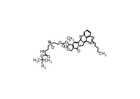 CCCCCC1=Nc2cccc3nc4c(c(c23)N1)Cn1c-4cc2c(c1=O)COC(=O)[C@@]2(CC)OC(=O)OCCS(=O)(=O)CCNC(=O)OC(C)(C)C